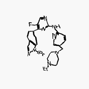 CCN1CCN(Cc2ccc(Nc3ncc(F)c(-c4ccc5cnn(C(C)C)c5c4)n3)nc2)CC1